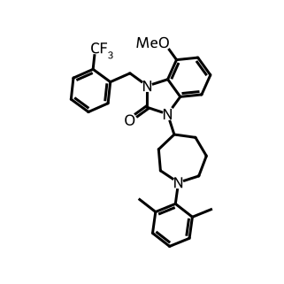 COc1cccc2c1n(Cc1ccccc1C(F)(F)F)c(=O)n2C1CCCN(c2c(C)cccc2C)CC1